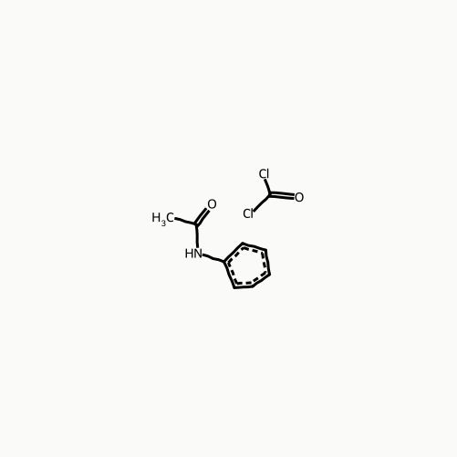 CC(=O)Nc1ccccc1.O=C(Cl)Cl